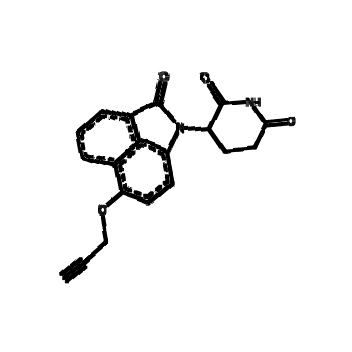 C#CCOc1ccc2c3c(cccc13)C(=O)N2C1CCC(=O)NC1=O